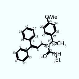 CCNC(=O)N(CC=C(c1ccccc1)c1ccccc1)[C@H](C)c1ccc(OC)cc1